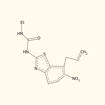 C=CCc1c([N+](=O)[O-])ccc2nc(NC(=O)NCC)sc12